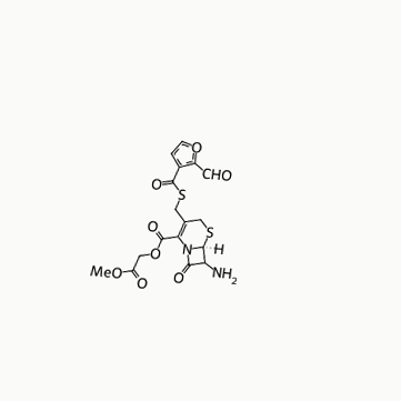 COC(=O)COC(=O)C1=C(CSC(=O)c2ccoc2C=O)CS[C@H]2C(N)C(=O)N12